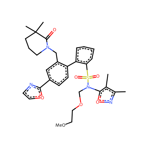 COCCOCN(c1onc(C)c1C)S(=O)(=O)c1ccccc1-c1ccc(-c2ncco2)cc1CN1CCCC(C)(C)C1=O